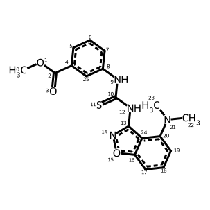 COC(=O)c1cccc(NC(=S)Nc2noc3cccc(N(C)C)c23)c1